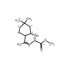 COC(=O)N/N=C(/C)C1CCC(C)(C)CC1O